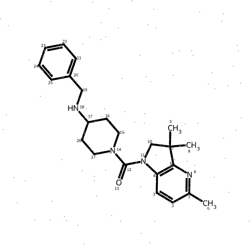 Cc1ccc2c(n1)C(C)(C)CN2C(=O)N1CCC(NCc2ccccc2)CC1